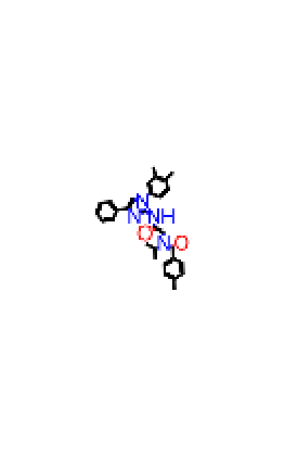 Cc1ccc(C(=O)N(CC(=O)Nc2nc(-c3ccccc3)cn2-c2ccc(C)c(C)c2)C(C)C)cc1